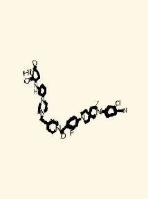 C[C@H]1CC2(CCN(c3ccc(C(=O)N4CCC(CN5CCN(c6cccc(NC7CCC(=O)NC7=O)c6)CC5)CC4)c(F)c3)CC2)CN1c1ccc(C#N)c(Cl)c1